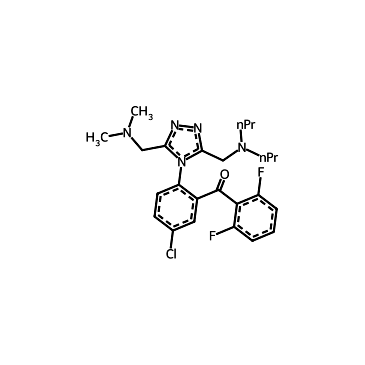 CCCN(CCC)Cc1nnc(CN(C)C)n1-c1ccc(Cl)cc1C(=O)c1c(F)cccc1F